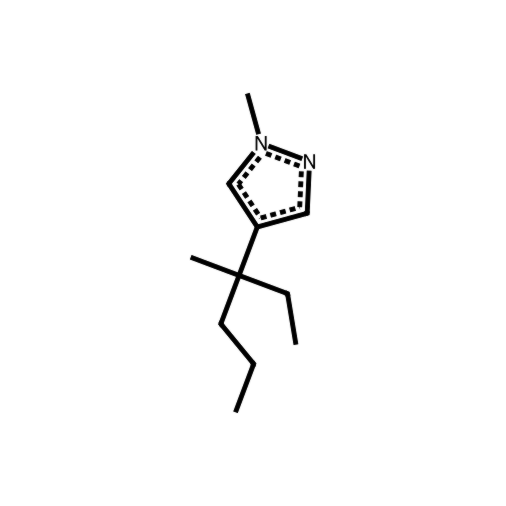 CCCC(C)(CC)c1cnn(C)c1